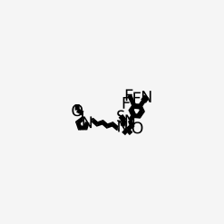 COC[C@@H]1CCCN1CCCCCCN1C(=S)N(c2ccc(C#N)c(C(F)(F)F)c2)C(=O)C1(C)C